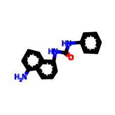 Nc1cccc2c(NC(=O)Nc3ccccc3)cccc12